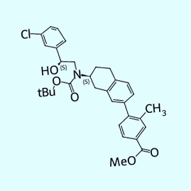 COC(=O)c1ccc(-c2ccc3c(c2)C[C@@H](N(C[C@@H](O)c2cccc(Cl)c2)C(=O)OC(C)(C)C)CC3)c(C)c1